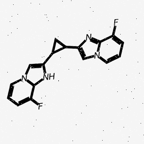 FC1=CC=CN2C=C(C3CC3c3cn4cccc(F)c4n3)NC12